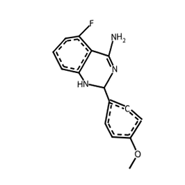 COc1ccc(C2N=C(N)c3c(F)cccc3N2)cc1